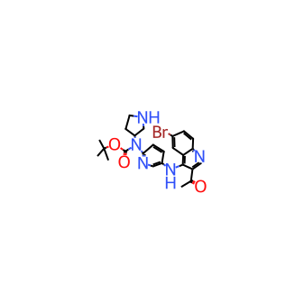 CC(=O)c1cnc2ccc(Br)cc2c1Nc1ccc(N(C(=O)OC(C)(C)C)C2CCNC2)nc1